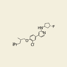 CC(C)CC(C)COc1ccc(-c2ccnc(NC3CCC(F)C3)c2)cc1Cl